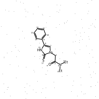 CCN(CC)C(=O)Cn1cc(-c2ccccc2)[nH]c1=S